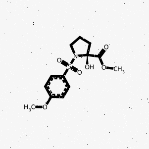 COC(=O)[C@@]1(O)CCCN1S(=O)(=O)c1ccc(OC)cc1